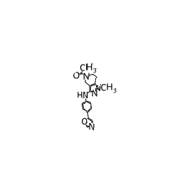 CC(=O)N1CCc2c(c(Nc3ccc(-c4cnco4)cc3)nn2C)C1